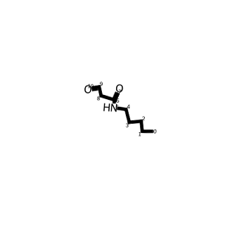 CCCCCNC(=O)CC=O